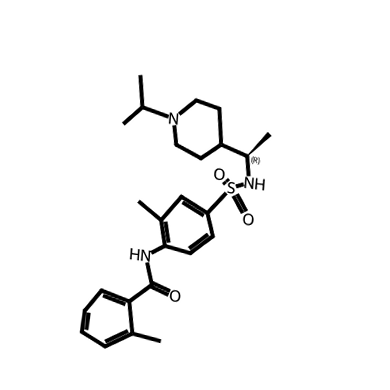 Cc1cc(S(=O)(=O)N[C@H](C)C2CCN(C(C)C)CC2)ccc1NC(=O)c1ccccc1C